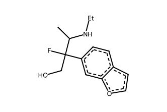 CCNC(C)C(F)(CO)c1ccc2ccoc2c1